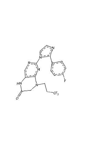 O=C1CN(CCC(F)(F)F)c2nc(-n3ccnc3-c3ccc(F)cc3)ncc2N1